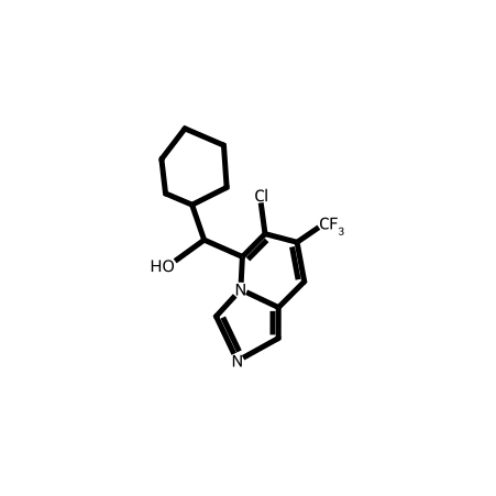 OC(c1c(Cl)c(C(F)(F)F)cc2cncn12)C1CCCCC1